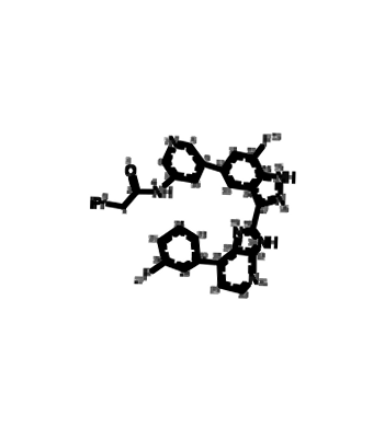 CC(C)CC(=O)Nc1cncc(-c2cc(F)c3[nH]nc(-c4nc5c(-c6cccc(F)c6)ccnc5[nH]4)c3c2)c1